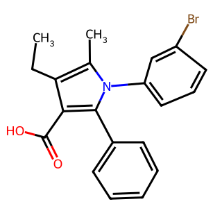 CCc1c(C(=O)O)c(-c2ccccc2)n(-c2cccc(Br)c2)c1C